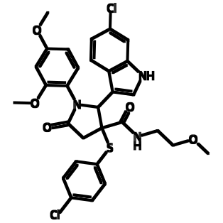 COCCNC(=O)C1(Sc2ccc(Cl)cc2)CC(=O)N(c2ccc(OC)cc2OC)C1c1c[nH]c2cc(Cl)ccc12